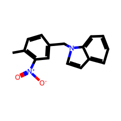 Cc1ccc(Cn2ccc3ccccc32)cc1[N+](=O)[O-]